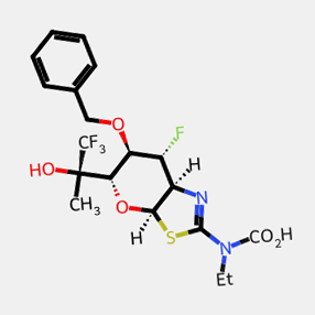 CCN(C(=O)O)C1=N[C@@H]2[C@@H](F)[C@H](OCc3ccccc3)[C@@H]([C@](C)(O)C(F)(F)F)O[C@@H]2S1